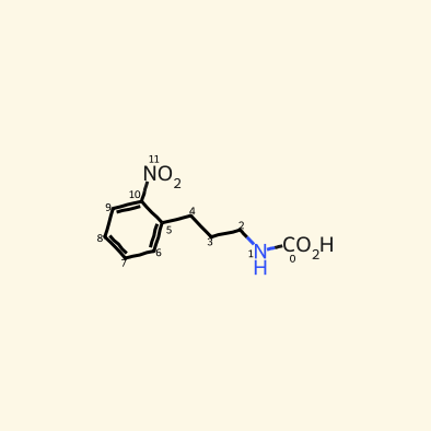 O=C(O)NCCCc1ccccc1[N+](=O)[O-]